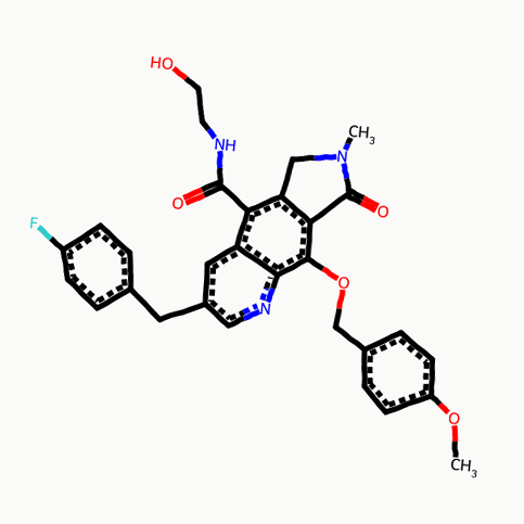 COc1ccc(COc2c3c(c(C(=O)NCCO)c4cc(Cc5ccc(F)cc5)cnc24)CN(C)C3=O)cc1